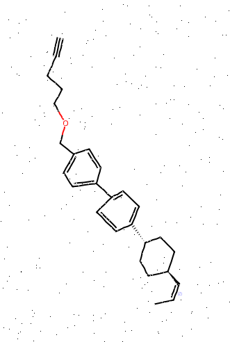 C#CCCCOCc1ccc(-c2ccc([C@H]3CC[C@H](/C=C\C)CC3)cc2)cc1